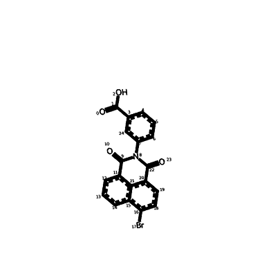 O=C(O)c1cccc(N2C(=O)c3cccc4c(Br)ccc(c34)C2=O)c1